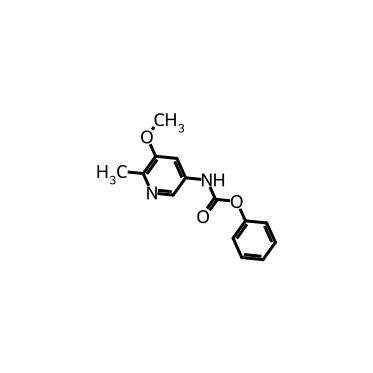 COc1cc(NC(=O)Oc2ccccc2)cnc1C